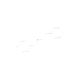 CC1CNCCN1OC(=O)OCc1ccccc1